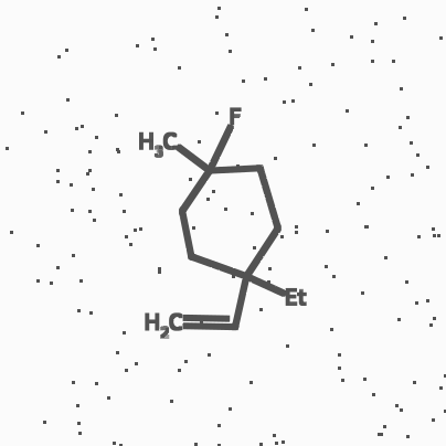 C=CC1(CC)CCC(C)(F)CC1